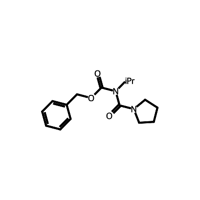 CC(C)N(C(=O)OCc1ccccc1)C(=O)N1CCCC1